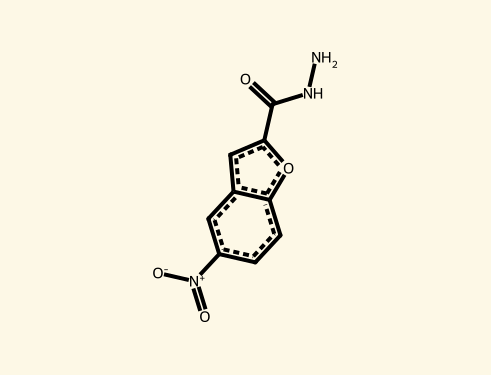 NNC(=O)c1cc2cc([N+](=O)[O-])ccc2o1